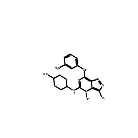 CC(C)c1nnc2c(Nc3cccc(N)c3)nc(NC3CCC(N)CC3)n(C(C)C)c1-2